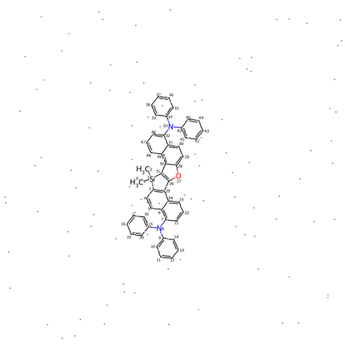 C[Si]1(C)c2ccc3c(N(c4ccccc4)c4ccccc4)cccc3c2-c2oc3ccc4c(N(c5ccccc5)c5ccccc5)cccc4c3c21